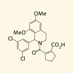 COc1cc2c(c(OC)c1)C(c1cc(Cl)cc(Cl)c1)N(C(=O)C1=C(C(=O)O)CCC1)CC2